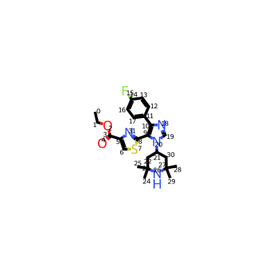 CCOC(=O)c1csc(-c2c(-c3ccc(F)cc3)ncn2C2CC(C)(C)NC(C)(C)C2)n1